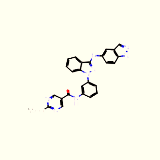 COc1ncc(C(=O)Nc2cccc(-n3nc(Nc4ccc5[nH]ncc5c4)c4ccccc43)c2)cn1